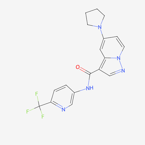 O=C(Nc1ccc(C(F)(F)F)nc1)c1cnn2ccc(N3CCCC3)cc12